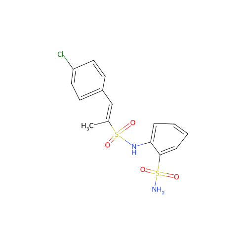 C/C(=C\c1ccc(Cl)cc1)S(=O)(=O)Nc1ccccc1S(N)(=O)=O